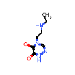 CCNCCn1[c]n[nH]c(=O)c1=O